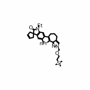 CCCC1=C(c2cc3c(cc2C)C2(CC=CC2)C(=O)N3CC)CCCc2cn(COCC[Si](C)(C)C)nc21